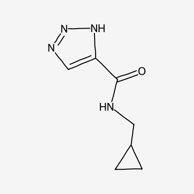 O=C(NCC1CC1)c1cnn[nH]1